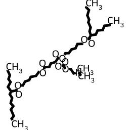 CCCCCCCCC(CCCCCC)C(=O)OCCCCCCOC(=O)CCC(OC(=O)OCCN(C)C)C(=O)OCCCCCCOC(=O)C(CCCCCC)CCCCCCCC